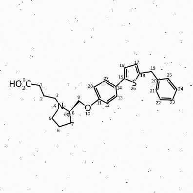 O=C(O)CCCN1CCC[C@@H]1COc1ccc(-c2ccc(Cc3ccccc3)s2)cc1